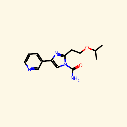 CC(C)OCCc1nc(-c2cccnc2)cn1C(N)=O